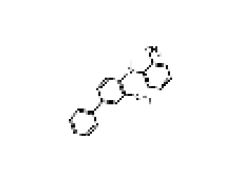 Cc1ccccc1Nc1ccc(-c2ccccc2)cc1C